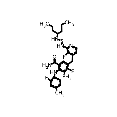 CCCC(CCC)NSNc1nccc(Cc2cc(C(N)=O)c(Nc3ccc(C)cc3F)c(P)c2F)c1F